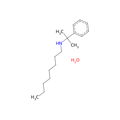 CCCCCCCCNC(C)(C)c1ccccc1.O